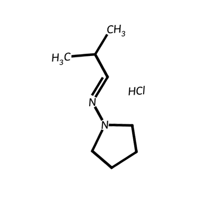 CC(C)/C=N/N1CCCC1.Cl